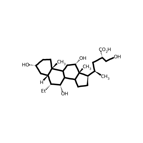 CC[C@H]1[C@@H](O)C2C3CC[C@H]([C@H](C)C[C@@H](CO)C(=O)O)[C@@]3(C)[C@@H](O)CC2[C@@]2(C)CC[C@@H](O)C[C@@H]12